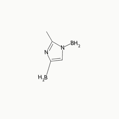 Bc1cn(B)c(C)n1